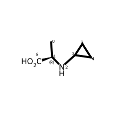 C[C@@H](NC1CC1)C(=O)O